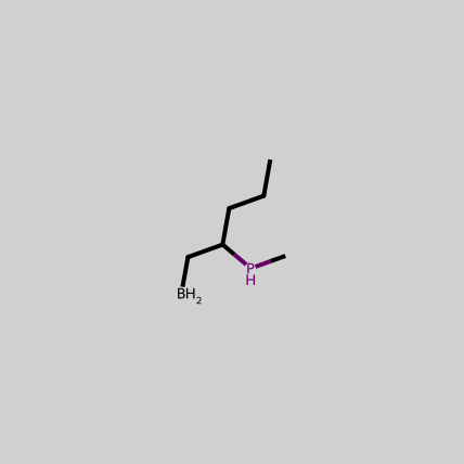 BCC(CCC)PC